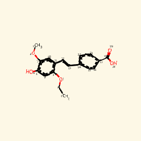 CCOc1cc(O)c(OC)cc1C=Cc1ccc(C(=O)O)cc1